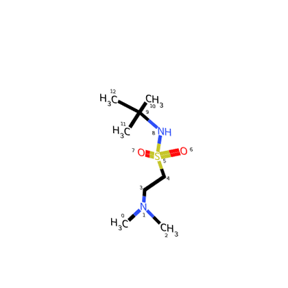 CN(C)CCS(=O)(=O)NC(C)(C)C